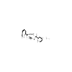 Cc1ccnc(-c2ncc(-c3ccccn3)nn2)c1